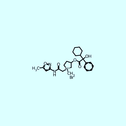 Cc1cc(NC(=O)C[N+]2(C)CCC(OC(=O)C(O)(c3ccccc3)C3CCCCC3)C2)no1.[Br-]